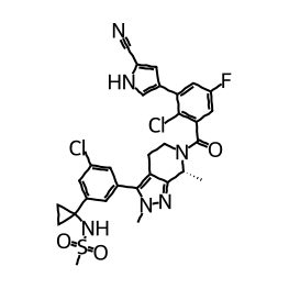 C[C@@H]1c2nn(C)c(-c3cc(Cl)cc(C4(NS(C)(=O)=O)CC4)c3)c2CCN1C(=O)c1cc(F)cc(-c2c[nH]c(C#N)c2)c1Cl